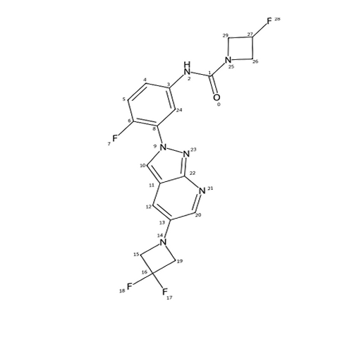 O=C(Nc1ccc(F)c(-n2cc3cc(N4CC(F)(F)C4)cnc3n2)c1)N1CC(F)C1